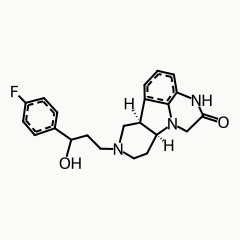 O=C1CN2c3c(cccc3[C@@H]3CN(CCC(O)c4ccc(F)cc4)CC[C@@H]32)N1